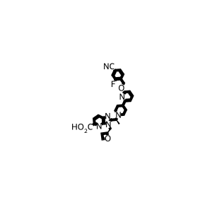 C[C@@H](c1nc2ccc(C(=O)O)nc2n1C[C@@H]1CCO1)N1CCC(c2cccc(OCc3ccc(C#N)cc3F)n2)CC1